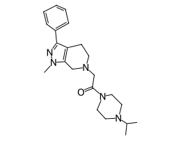 CC(C)N1CCN(C(=O)CN2CCc3c(-c4ccccc4)nn(C)c3C2)CC1